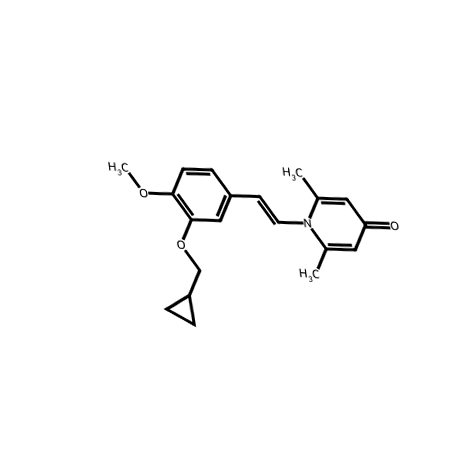 COc1ccc(/C=C/n2c(C)cc(=O)cc2C)cc1OCC1CC1